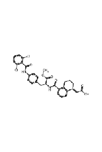 COC(=O)[C@H](Cc1ccc(NC(=O)c2c(Cl)cccc2Cl)cc1)NC(=O)c1cccc2c1CCCC2=CC(=O)O